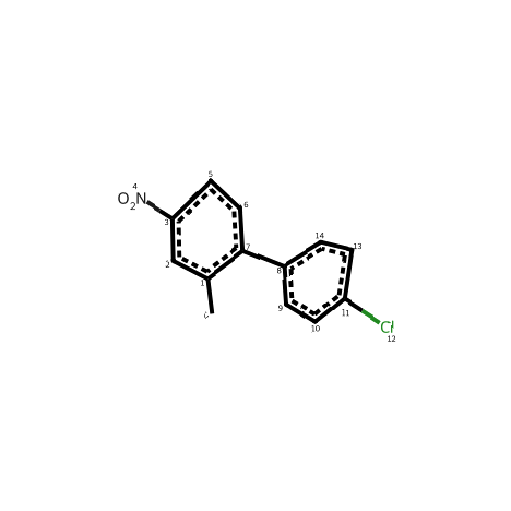 Cc1cc([N+](=O)[O-])ccc1-c1ccc(Cl)cc1